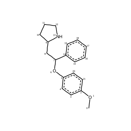 COc1ccc(OC(CC2CCCN2)c2ccccc2)cc1